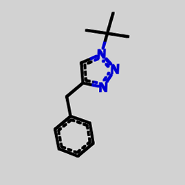 CC(C)(C)n1cc(Cc2ccccc2)nn1